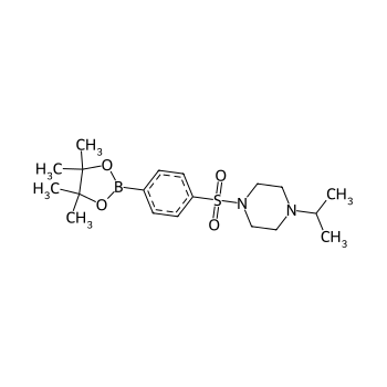 CC(C)N1CCN(S(=O)(=O)c2ccc(B3OC(C)(C)C(C)(C)O3)cc2)CC1